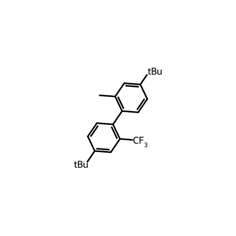 Cc1cc(C(C)(C)C)ccc1-c1ccc(C(C)(C)C)cc1C(F)(F)F